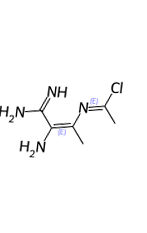 C/C(Cl)=N\C(C)=C(\N)C(=N)N